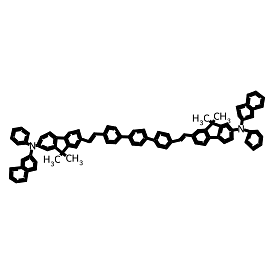 CC1(C)c2cc(/C=C/c3ccc(-c4ccc(-c5ccc(/C=C/c6ccc7c(c6)C(C)(C)c6cc(N(c8ccccc8)c8ccc9ccccc9c8)ccc6-7)cc5)cc4)cc3)ccc2-c2ccc(N(c3ccccc3)c3ccc4ccccc4c3)cc21